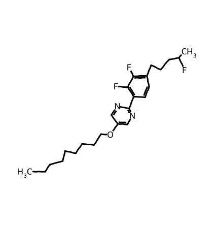 CCCCCCCCCOc1cnc(-c2ccc(CCCC(C)F)c(F)c2F)nc1